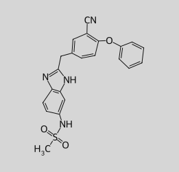 CS(=O)(=O)Nc1ccc2nc(Cc3ccc(Oc4ccccc4)c(C#N)c3)[nH]c2c1